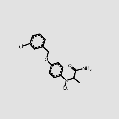 CCN(c1ccc(OCc2cccc(Cl)c2)cc1)C(C)C(N)=O